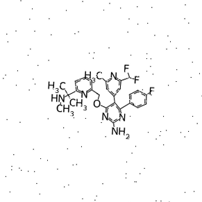 CNC(C)(C)c1cccc(COc2nc(N)nc(-c3ccc(F)cc3)c2-c2cc(C)nc(C(F)F)c2)n1